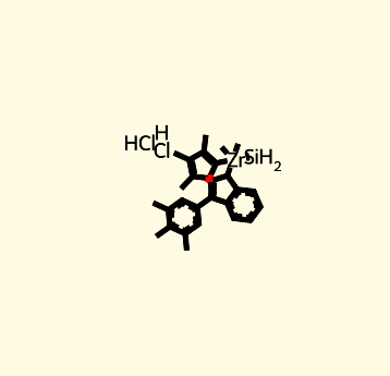 CC1=C(C)C(C)[C]([Zr]([CH3])([CH3])(=[SiH2])[CH]2C=C(c3cc(C)c(C)c(C)c3)c3ccccc32)=C1C.Cl.Cl